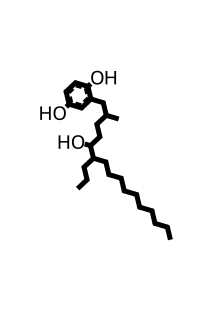 CCCCCCCCCCC(CCC)C(O)CCC(C)Cc1cc(O)ccc1O